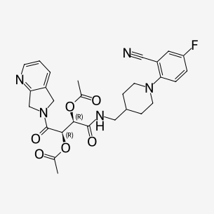 CC(=O)O[C@@H](C(=O)NCC1CCN(c2ccc(F)cc2C#N)CC1)[C@@H](OC(C)=O)C(=O)N1Cc2cccnc2C1